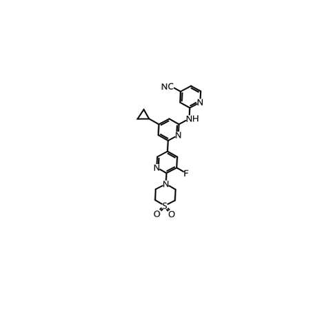 N#Cc1ccnc(Nc2cc(C3CC3)cc(-c3cnc(N4CCS(=O)(=O)CC4)c(F)c3)n2)c1